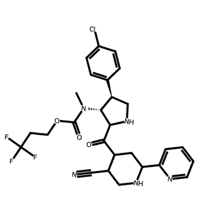 CN(C(=O)OCCC(F)(F)F)[C@H]1C(C(=O)C2CC(c3ccccn3)NCC2C#N)NC[C@@H]1c1ccc(Cl)cc1